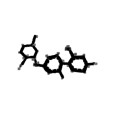 Cc1cc(N[C@H]2CN(C)CC[C@@H]2F)nnc1-c1ccc(F)cc1O